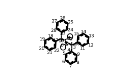 O=S(=O)(I(c1ccccc1)c1ccccc1)I(c1ccccc1)c1ccccc1